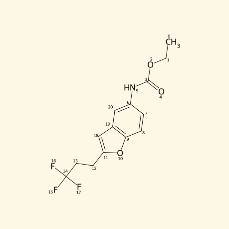 CCOC(=O)Nc1ccc2oc(CCC(F)(F)F)cc2c1